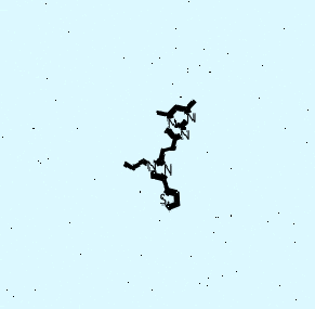 CCCn1cc(-c2cccs2)nc1CCc1cn2c(C)cc(C)nc2n1